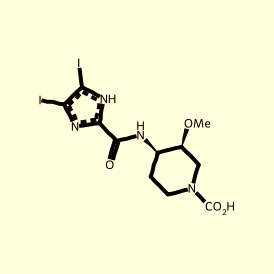 CO[C@H]1CN(C(=O)O)CC[C@H]1NC(=O)c1nc(I)c(I)[nH]1